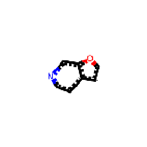 [c]1coc2cnccc12